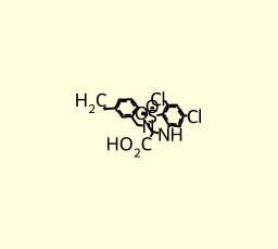 C=Cc1cccc(CN2C(C(=O)O)Nc3cc(Cl)cc(Cl)c3S2(=O)=O)c1